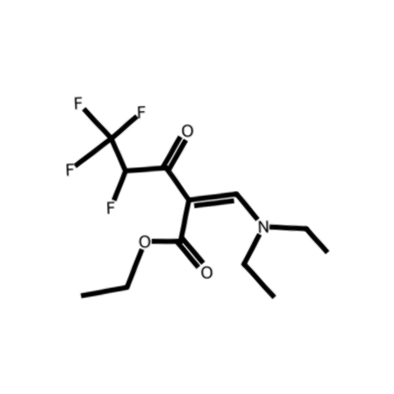 CCOC(=O)/C(=C\N(CC)CC)C(=O)C(F)C(F)(F)F